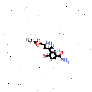 CC1OC(C(N)Cc2c[nH]c3c(C(N)=O)ccc(Br)c23)O1